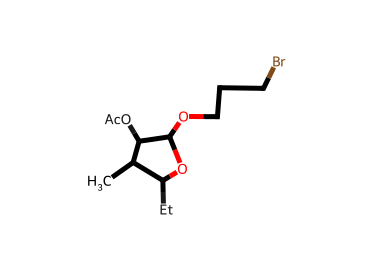 CCC1OC(OCCCBr)C(OC(C)=O)C1C